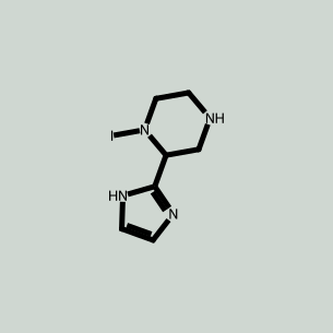 IN1CCNCC1c1ncc[nH]1